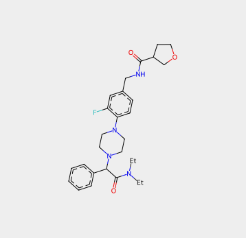 CCN(CC)C(=O)C(c1ccccc1)N1CCN(c2ccc(CNC(=O)C3CCOC3)cc2F)CC1